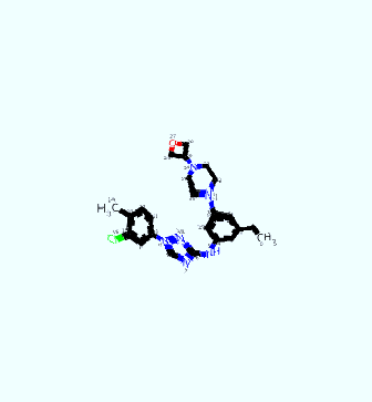 CCc1cc(Nc2ncn(-c3ccc(C)c(Cl)c3)n2)cc(N2CCN(C3COC3)CC2)c1